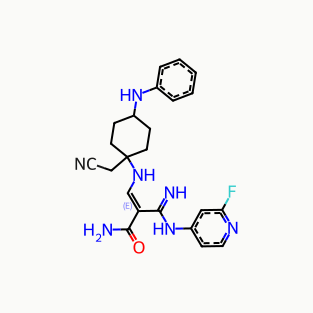 N#CCC1(N/C=C(\C(=N)Nc2ccnc(F)c2)C(N)=O)CCC(Nc2ccccc2)CC1